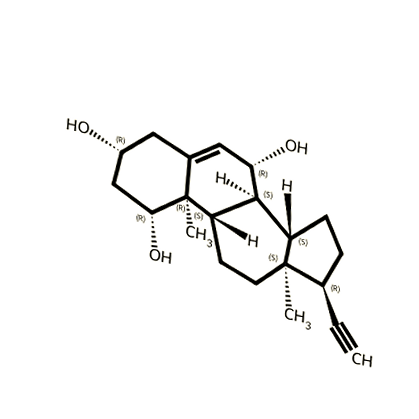 C#C[C@@H]1CC[C@H]2[C@@H]3[C@@H](O)C=C4C[C@@H](O)C[C@@H](O)[C@]4(C)[C@H]3CC[C@]12C